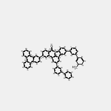 CC1C=C(c2cccc(-c3ccc4c(c3)c3cc(-c5cccc(-c6ccccc6)c5)cc5c6cc(-c7ccc8c9ccccc9c9ccccc9c8c7)ccc6c(=O)n4c53)c2)C=CC1